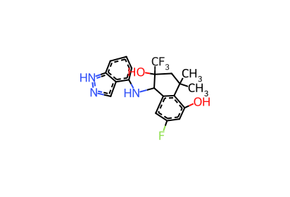 CC1(C)CC(O)(C(F)(F)F)C(Nc2cccc3[nH]ncc23)c2cc(F)cc(O)c21